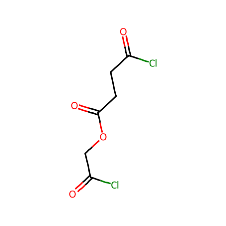 O=C(Cl)CCC(=O)OCC(=O)Cl